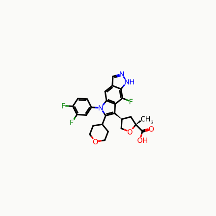 C[C@]1(C(=O)O)C[C@H](c2c(C3CCOCC3)n(-c3ccc(F)c(F)c3)c3cc4cn[nH]c4c(F)c23)CO1